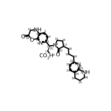 O=C(O)C[C@@H](c1ccc2c(n1)OC(=O)CN2)N1CCC(CCCc2ccc3c(n2)NCCC3)C1=O